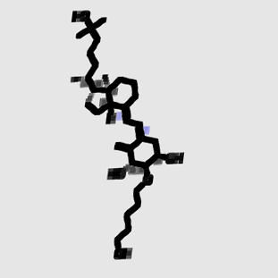 C=C1/C(=C\C=C2/CCC[C@]3(C)[C@@H]([C@H](C)CCCC(C)(C)O)CC[C@@H]23)C[C@@H](O)[C@@H](OCCCCCO)[C@@H]1O